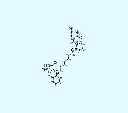 O=C1NC(=O)C(=Cc2ccccc2OCCCCCCCOc2ccccc2C=C2SC(=O)NC2=O)S1